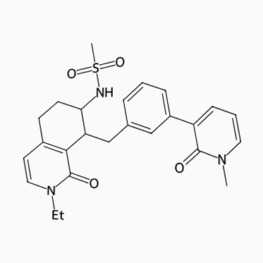 CCn1ccc2c(c1=O)C(Cc1cccc(-c3cccn(C)c3=O)c1)C(NS(C)(=O)=O)CC2